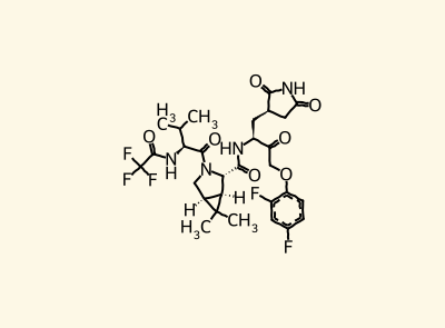 CC(C)[C@H](NC(=O)C(F)(F)F)C(=O)N1C[C@H]2[C@@H]([C@H]1C(=O)N[C@@H](C[C@@H]1CC(=O)NC1=O)C(=O)COc1ccc(F)cc1F)C2(C)C